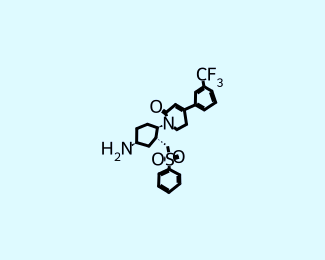 N[C@@H]1CC[C@H](N2CCC(c3cccc(C(F)(F)F)c3)=CC2=O)[C@H](CS(=O)(=O)c2ccccc2)C1